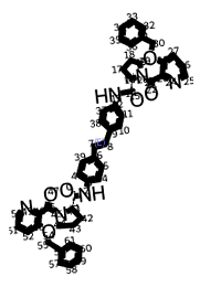 O=C(Nc1ccc(/C=C/c2ccc(NC(=O)[C@@H]3CCCN3C(=O)c3ncccc3OCc3ccccc3)cc2)cc1)[C@@H]1CCCN1C(=O)c1ncccc1OCc1ccccc1